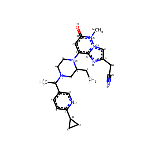 CCC1CN(C(C)c2ccc(C3CC3)nc2)CCN1c1cc(=O)n(C)n2cc(CC#N)nc12